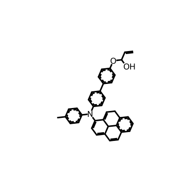 C=CC(O)Oc1ccc(-c2ccc(N(C3=CC=C4C=Cc5cccc6c5C4C3=CC6)c3ccc(C)cc3)cc2)cc1